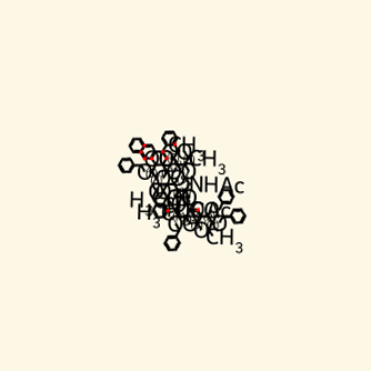 CC(=O)NC1[C@H](OC2[C@H](C)OC(C)[C@@H](OCc3ccccc3)[C@@H]2O[C@H]2O[C@@H](COCc3ccccc3)[C@H](OCc3ccccc3)C(OCc3ccccc3)C2OCc2ccccc2)OC2COC(C)(C)O[C@H]2[C@@H]1O[C@@H]1OC(C)[C@@H](OCc2ccccc2)[C@H](O[C@@H]2OC(C)[C@@H](OCc3ccccc3)[C@H](OCc3ccccc3)C2C)C1OC(C)=O